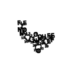 O=C1c2cc(-c3nnc(C(F)F)o3)ccc2CN1[C@H](C1CCOCC1)[C@@H](O)c1cccc(C(F)(F)F)c1